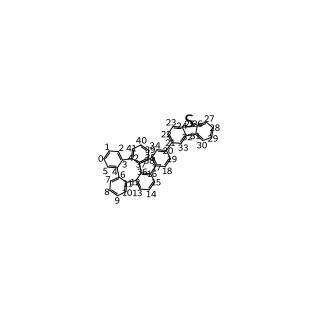 c1ccc2c(c1)-c1ccccc1-c1cccc(-c3ccc(-c4ccc5sc6ccccc6c5c4)cc3)c1-c1ccccc1-2